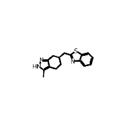 Cc1[nH]nc2c1CCC(Cc1nc3ccccc3s1)C2